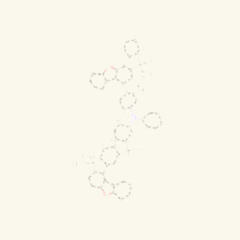 CC1(C)c2cc(N(c3ccccc3)c3ccc4c(c3)C(C)(C)c3c5c(c6oc7ccccc7c6c3-4)-c3ccccc3C5(C)C)ccc2-c2cc3c(cc21)-c1c(ccc2oc4ccccc4c12)C3(C)C